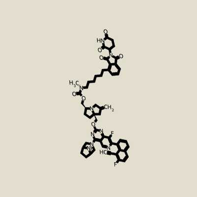 C#Cc1c(F)ccc2cccc(-c3ncc4c(N5CC6CCC(C5)N6)nc(OC[C@@]56CC[C@@H](COC(=O)N(C)CCCCCCc7cccc8c7C(=O)N(C7CCC(=O)NC7=O)C8=O)N5CC(=C)C6)nc4c3F)c12